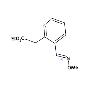 CCOC(=O)Cc1ccccc1/C=N/OC